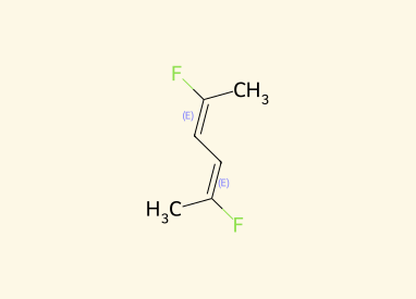 C/C(F)=C\C=C(/C)F